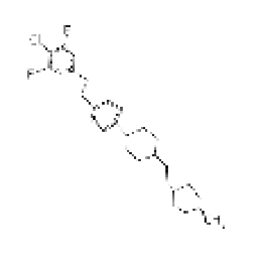 C[C@H]1CC[C@H](CCC2CCC(c3ccc(CCc4cc(F)c(Cl)c(F)c4)cc3)CC2)CC1